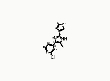 Cc1[nH]c(-c2ccsc2)nc1-c1cccc(Cl)c1